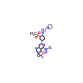 Cn1cnc2cc(-c3ccc(NCCN4CCCC4)c(S(C)(=O)=O)c3)nc(NC3CC3)c2c1=O